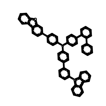 c1ccc(-c2ccccc2-c2ccc(N(c3ccc(-c4cccc(-n5c6ccccc6c6ccccc65)c4)cc3)c3ccc(-c4ccc5c(c4)oc4ccccc45)cc3)cc2)cc1